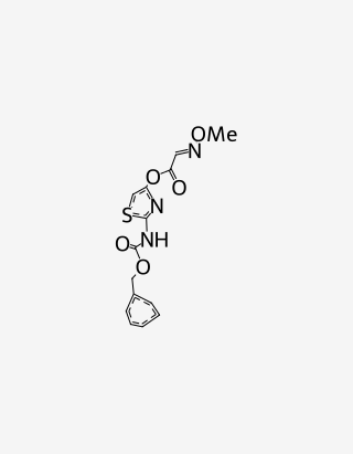 CON=CC(=O)Oc1csc(NC(=O)OCc2ccccc2)n1